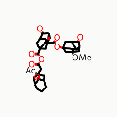 COC12CC3CC(OC(=O)C45CC6CC(C(=O)OC(=O)CC7(C(C)=O)CC8CCCC(C7)C8=O)(CC(C4)C6=O)C5)(CC(C1)C3=O)C2